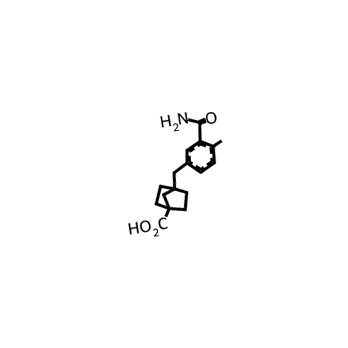 Cc1ccc(CC23CCC(C(=O)O)(CC2)C3)cc1C(N)=O